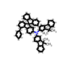 CC1(C)c2ccccc2-c2ccc(N(c3ccc4c(c3)C(C)(C)c3ccccc3-4)c3ccc4c(c3)C3(c5ccccc5-c5ccccc53)c3cccc(-c5ccccc5)c3-4)cc21